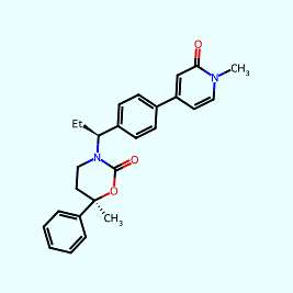 CC[C@@H](c1ccc(-c2ccn(C)c(=O)c2)cc1)N1CC[C@](C)(c2ccccc2)OC1=O